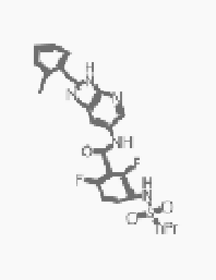 CCCS(=O)(=O)Nc1ccc(F)c(C(=O)Nc2cnc3[nH]c(-c4ccccc4C)nc3c2)c1F